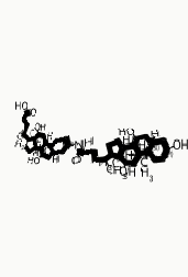 C[C@H](CCC(=O)N[C@H]1CC[C@@]2(C)[C@@H](C1)C[C@@H](O)[C@@H]1[C@@H]2C[C@H](O)[C@]2(C)[C@@H]([C@H](C)CCC(=O)O)CC[C@@H]12)C1CC[C@H]2[C@@H]3[C@H](O)C[C@@H]4C[C@H](O)CC[C@]4(C)[C@H]3C[C@H](O)[C@]12C